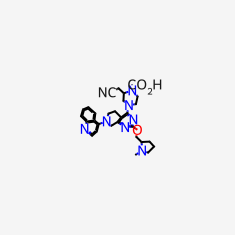 CN1CCCC1COc1nc2c(c(N3CCN(C(=O)O)C(CC#N)C3)n1)CCN(c1ccnc3ccccc13)C2